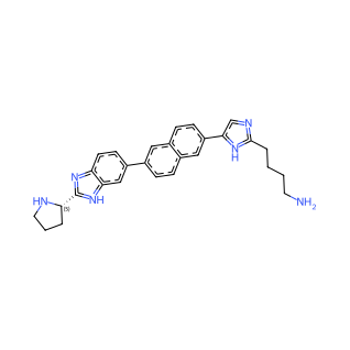 NCCCCc1ncc(-c2ccc3cc(-c4ccc5nc([C@@H]6CCCN6)[nH]c5c4)ccc3c2)[nH]1